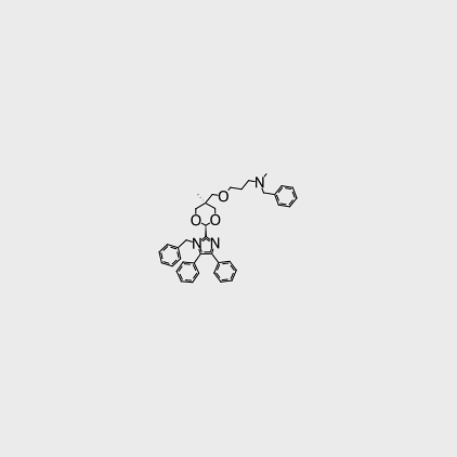 CN(CCCOC[C@]1(C)CO[C@H](c2nc(-c3ccccc3)c(-c3ccccc3)n2Cc2ccccc2)OC1)Cc1ccccc1